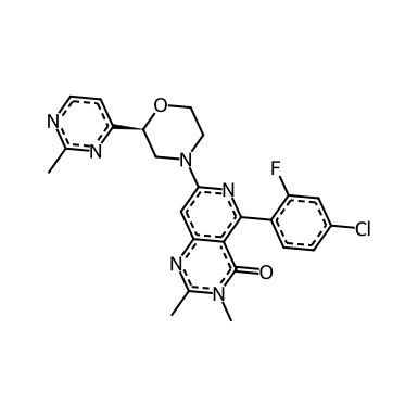 Cc1nccc([C@@H]2CN(c3cc4nc(C)n(C)c(=O)c4c(-c4ccc(Cl)cc4F)n3)CCO2)n1